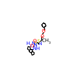 CC(COCCOCc1ccccc1)c1ncc(S(N)(=O)=NC(=O)Nc2c3c(cc4c2CCC4)CCC3)s1